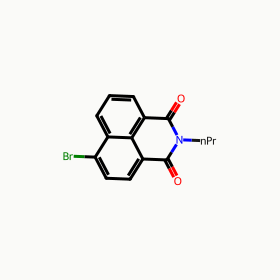 CCCN1C(=O)c2cccc3c(Br)ccc(c23)C1=O